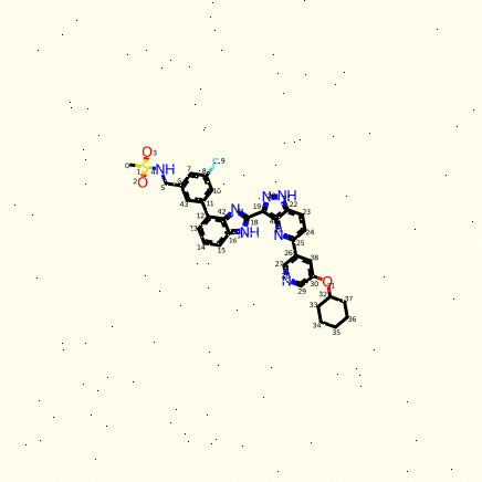 CS(=O)(=O)NCc1cc(F)cc(-c2cccc3[nH]c(-c4n[nH]c5ccc(-c6cncc(OC7CCCCC7)c6)nc45)nc23)c1